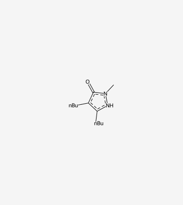 CCCCc1[nH]n(C)c(=O)c1CCCC